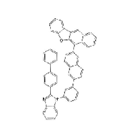 c1ccc(-c2ccc(-c3nc4ccccc4n3-c3cccc(-c4ccc5cc(-c6c7ccccc7cc7c6oc6ccccc67)ccc5c4)c3)cc2)cc1